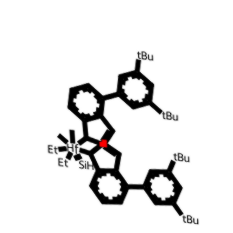 C[CH2][Hf]([CH3])([CH3])(=[SiH2])([CH2]C)([CH]1C=Cc2c(-c3cc(C(C)(C)C)cc(C(C)(C)C)c3)cccc21)[CH]1C=Cc2c(-c3cc(C(C)(C)C)cc(C(C)(C)C)c3)cccc21